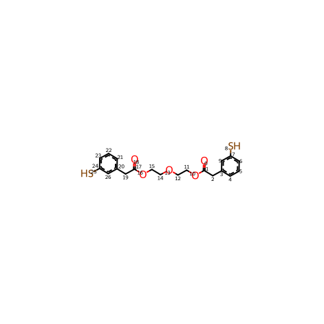 O=C(Cc1cccc(S)c1)OCCOCCOC(=O)Cc1cccc(S)c1